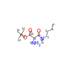 CCCCN(C)C(=O)C(N)C(=O)OC(C)(C)C